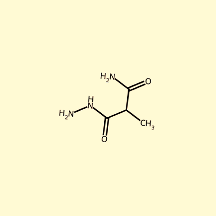 CC(C(N)=O)C(=O)NN